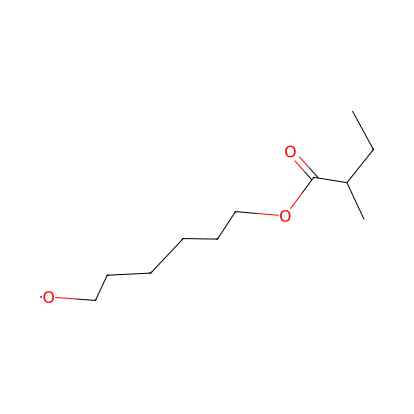 CCC(C)C(=O)OCCCCCC[O]